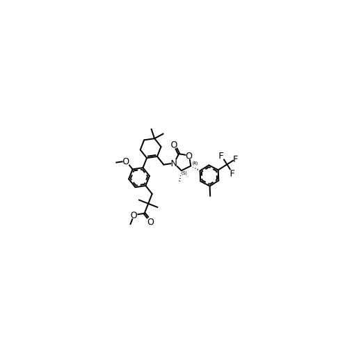 COC(=O)C(C)(C)Cc1ccc(OC)c(C2=C(CN3C(=O)O[C@H](c4cc(C)cc(C(F)(F)F)c4)[C@@H]3C)CC(C)(C)CC2)c1